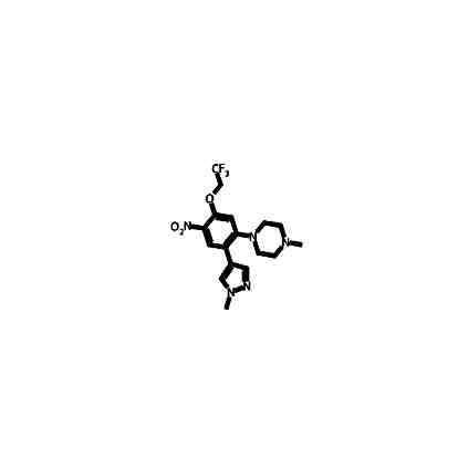 CN1CCN(c2cc(OCC(F)(F)F)c([N+](=O)[O-])cc2-c2cnn(C)c2)CC1